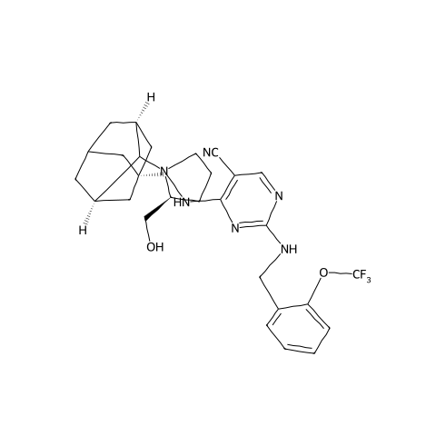 N#Cc1cnc(NCc2ccccc2OC(F)(F)F)nc1NC[C@@]12CC3C[C@H](C1)C(N1CCC[C@H]1CO)[C@@H](C3)C2